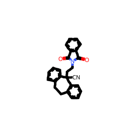 N#CC1(CCN2C(=O)c3ccccc3C2=O)c2ccccc2CCc2ccccc21